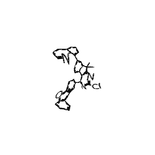 CC1(C)c2cc(-c3cccc4cccnc34)ccc2-c2c(-c3ccc4oc5ccccc5c4c3)nc(Cl)nc21